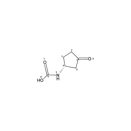 O=C1CC[C@@H](NC(=O)O)C1